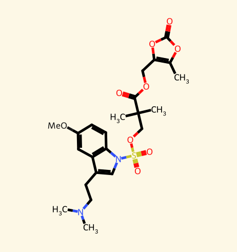 COc1ccc2c(c1)c(CCN(C)C)cn2S(=O)(=O)OCC(C)(C)C(=O)OCc1oc(=O)oc1C